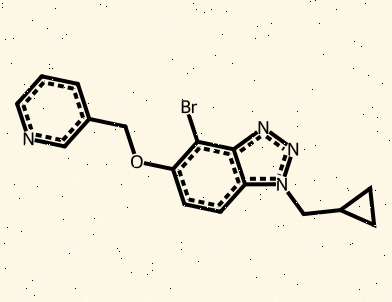 Brc1c(OCc2cccnc2)ccc2c1nnn2CC1CC1